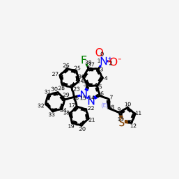 O=[N+]([O-])c1cc2c(/C=C/c3cccs3)nn(C(c3ccccc3)(c3ccccc3)c3ccccc3)c2cc1F